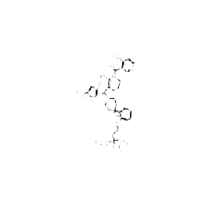 CCC[C@H]1N(C(=O)c2cnccc2C(F)(F)F)CCC[C@@]1(Oc1csc(C(F)(F)F)c1)C(=O)N1CCC(C#N)(c2ccccc2OCCC(C)(C)C(=O)O)CC1